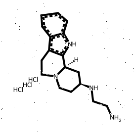 Cl.Cl.Cl.NCCN[C@H]1CCN2CCc3c([nH]c4ccccc34)[C@H]2C1